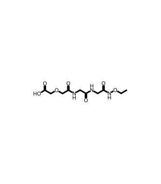 CCONC(=O)CNC(=O)CNC(=O)COCC(=O)O